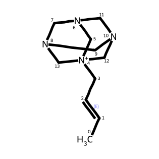 C/C=C/C[N+]12CN3CN(CN(C3)C1)C2